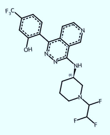 Oc1cc(C(F)(F)F)ccc1-c1nnc(N[C@@H]2CCCN(C(F)C(F)F)C2)c2cnccc12